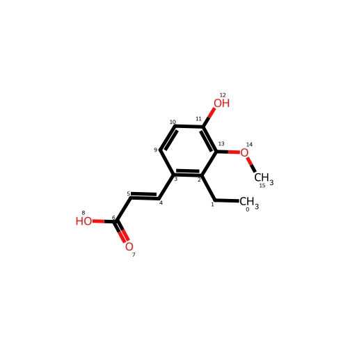 CCc1c(C=CC(=O)O)ccc(O)c1OC